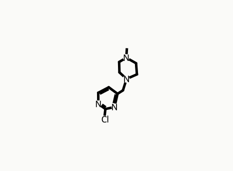 CN1CCN(Cc2ccnc(Cl)n2)CC1